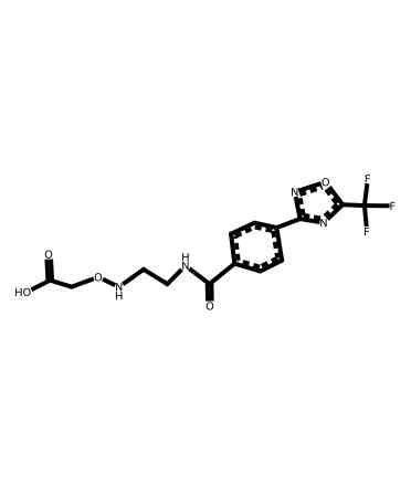 O=C(O)CONCCNC(=O)c1ccc(-c2noc(C(F)(F)F)n2)cc1